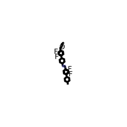 CCOCc1ccc(C2CCC(/C=C/c3ccc(C4CCC(C)CC4)c(F)c3F)CC2)c(F)c1F